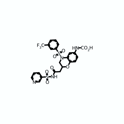 O=C(O)Nc1ccc2c(c1)N(S(=O)(=O)c1cccc(C(F)(F)F)c1)CC(CC(=O)NS(=O)(=O)c1cccnc1)O2